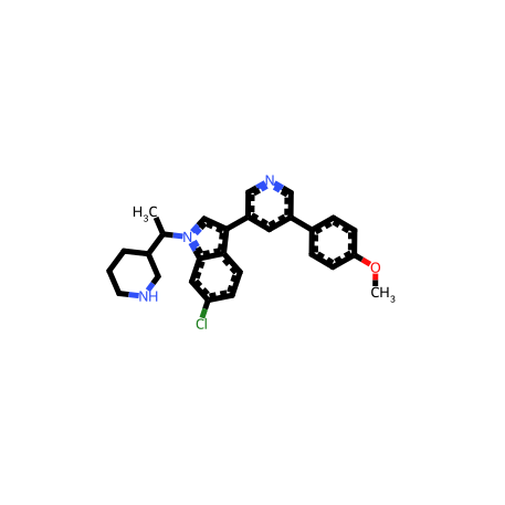 COc1ccc(-c2cncc(-c3cn(C(C)C4CCCNC4)c4cc(Cl)ccc34)c2)cc1